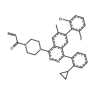 C=CC(=O)N1CCN(c2nnc(-c3ccccc3C3CC3)c3cc(-c4c(F)cccc4CC)c(C)cc23)CC1